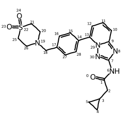 O=C(CC1CC1)Nc1nc2cccc(-c3ccc(CN4CCS(=O)(=O)CC4)cc3)n2n1